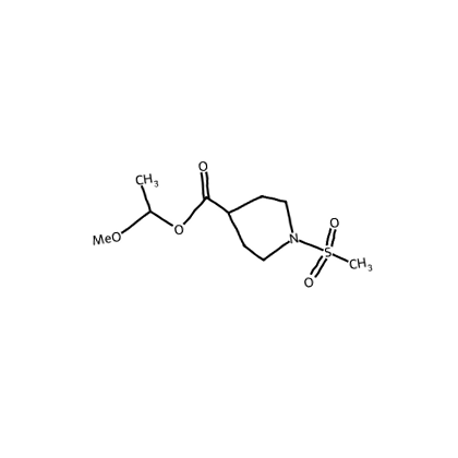 COC(C)OC(=O)C1CCN(S(C)(=O)=O)CC1